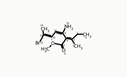 CC\C(C)=C(C(=O)OC)/C(N)=C\C=C(/C)Br